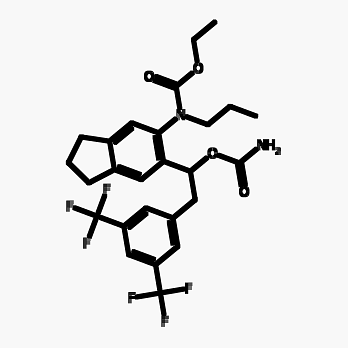 CCCN(C(=O)OCC)c1cc2c(cc1C(Cc1cc(C(F)(F)F)cc(C(F)(F)F)c1)OC(N)=O)CCC2